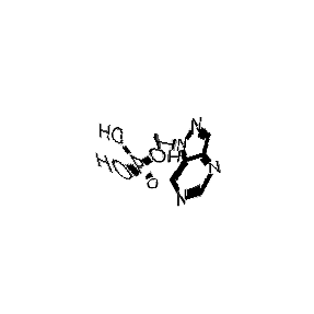 O=P(O)(O)O.c1ncc2[nH]ncc2n1